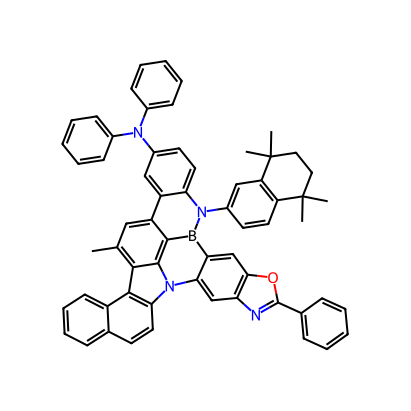 Cc1cc2c3c4c1c1c5ccccc5ccc1n4-c1cc4nc(-c5ccccc5)oc4cc1B3N(c1ccc3c(c1)C(C)(C)CCC3(C)C)c1ccc(N(c3ccccc3)c3ccccc3)cc1-2